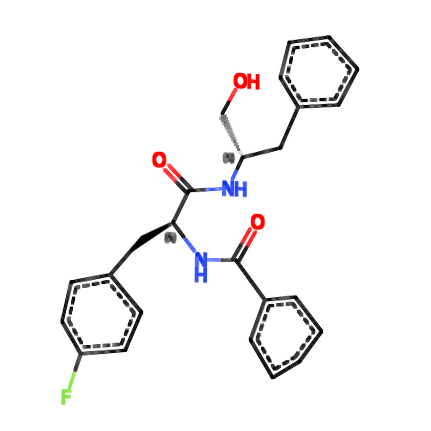 O=C(N[C@@H](Cc1ccc(F)cc1)C(=O)N[C@H](CO)Cc1ccccc1)c1ccccc1